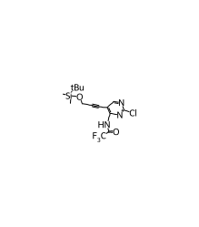 CC(C)(C)[Si](C)(C)OCC#Cc1cnc(Cl)nc1NC(=O)C(F)(F)F